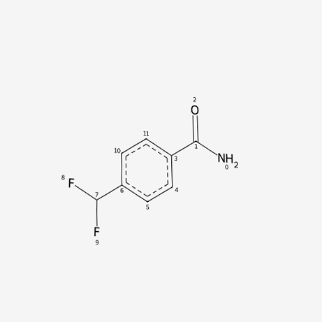 NC(=O)c1ccc(C(F)F)cc1